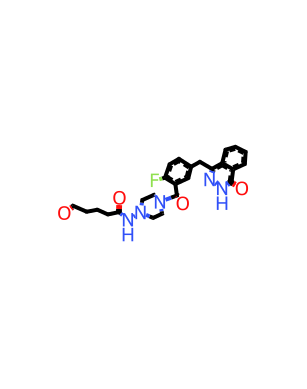 O=CCCCC(=O)NN1CCN(C(=O)c2cc(Cc3n[nH]c(=O)c4ccccc34)ccc2F)CC1